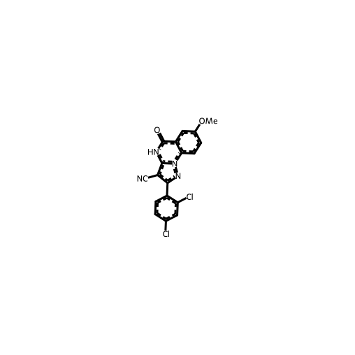 COc1ccc2c(c1)c(=O)[nH]c1c(C#N)c(-c3ccc(Cl)cc3Cl)nn12